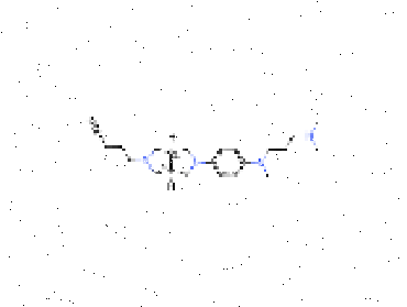 C#CCCCN1C[C@@H]2CN(c3ccc(N(C)CCCN(C)C)cc3)C[C@@H]2C1